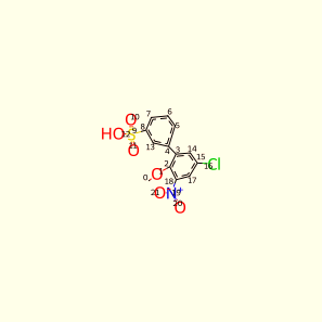 COc1c(-c2cccc(S(=O)(=O)O)c2)cc(Cl)cc1[N+](=O)[O-]